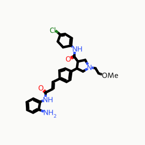 COCCN1CC(C(=O)NC2=CC=C(Cl)CC2)C(c2ccc(/C=C/C(=O)Nc3ccccc3N)cc2)C1